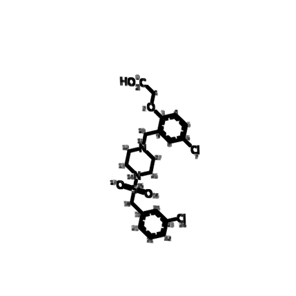 O=C(O)COc1ccc(Cl)cc1CN1CCN(S(=O)(=O)Cc2cccc(Cl)c2)CC1